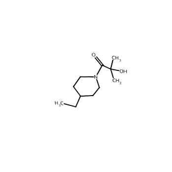 CCC1CCN(C(=O)C(C)(C)O)CC1